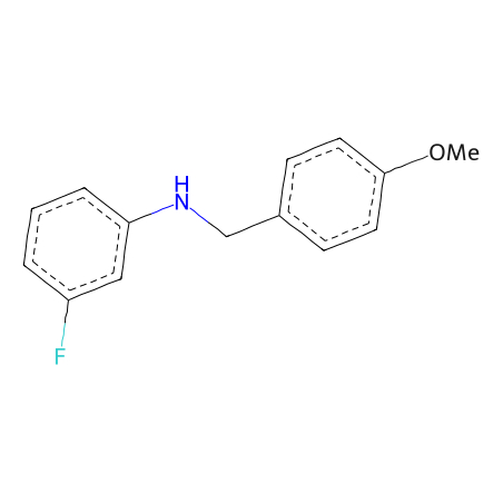 COc1ccc(CNc2cccc(F)c2)cc1